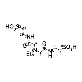 CCN(CC(=O)NCCS(=O)(=O)O)CC(=O)NCCS(=O)(=O)O